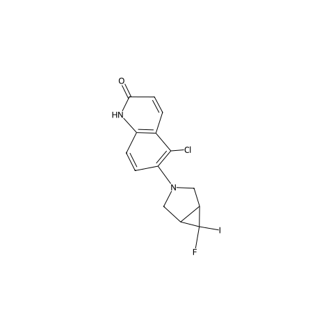 O=c1ccc2c(Cl)c(N3CC4C(C3)C4(F)I)ccc2[nH]1